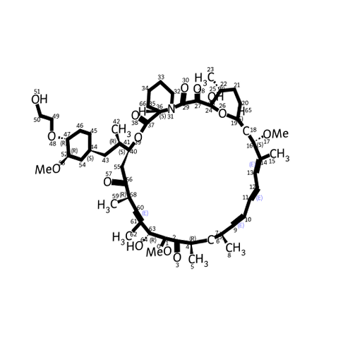 COC1C(=O)[C@H](C)C[C@H](C)/C=C/C=C/C=C(\C)[C@@H](OC)C[C@@H]2CC[C@@H](C)[C@@](O)(O2)C(=O)C(=O)N2CCCC[C@H]2C(=O)O[C@H]([C@H](C)C[C@@H]2CC[C@@H](OCCO)[C@H](OC)C2)CC(=O)[C@H](C)/C=C(\C)[C@H]1O